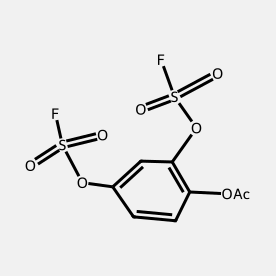 CC(=O)Oc1ccc(OS(=O)(=O)F)cc1OS(=O)(=O)F